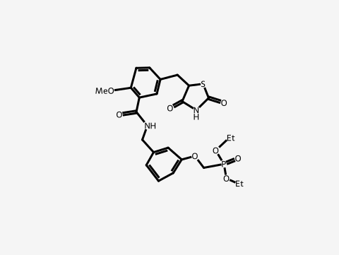 CCOP(=O)(COc1cccc(CNC(=O)c2cc(CC3SC(=O)NC3=O)ccc2OC)c1)OCC